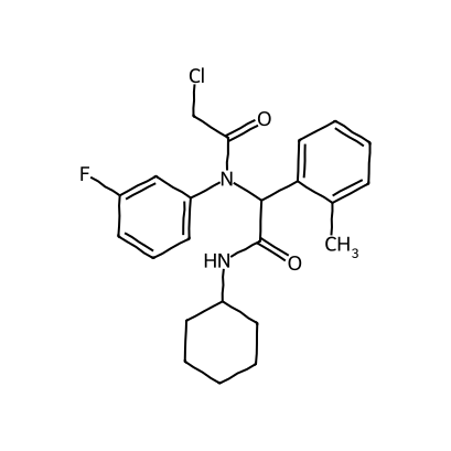 Cc1ccccc1C(C(=O)NC1CCCCC1)N(C(=O)CCl)c1cccc(F)c1